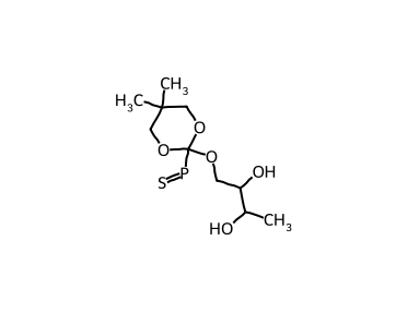 CC(O)C(O)COC1(P=S)OCC(C)(C)CO1